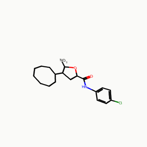 O=C(Nc1ccc(Cl)cc1)C1CC(C2CCCCCCC2)C([N+](=O)[O-])O1